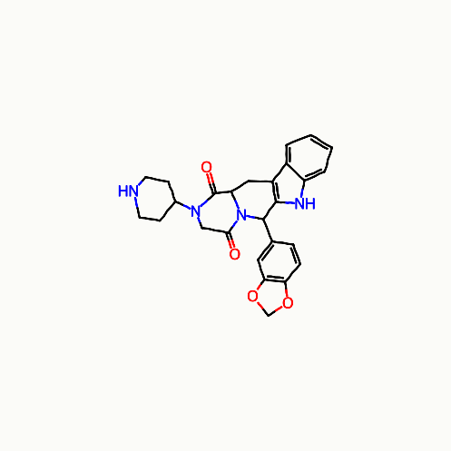 O=C1C2Cc3c([nH]c4ccccc34)C(c3ccc4c(c3)OCO4)N2C(=O)CN1C1CCNCC1